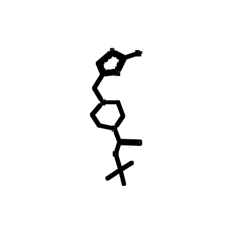 CC(C)(C)OC(=O)N1CCN(Cc2csc(Br)n2)CC1